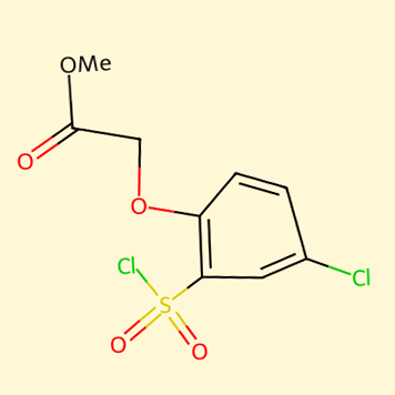 COC(=O)COc1ccc(Cl)cc1S(=O)(=O)Cl